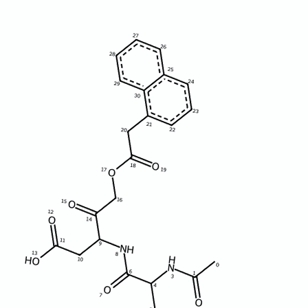 CC(=O)NC(C)C(=O)NC(CC(=O)O)C(=O)COC(=O)Cc1cccc2ccccc12